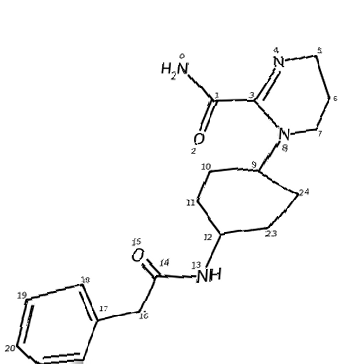 NC(=O)C1=NCCCN1C1CCC(NC(=O)[CH]c2ccccc2)CC1